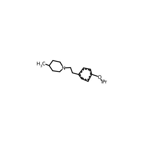 CC1CCN(CCc2ccc(OC(C)C)cc2)CC1